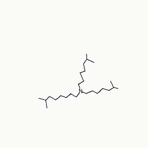 CC(C)CCCCCCN(CCCCCC(C)C)CCCCCC(C)C